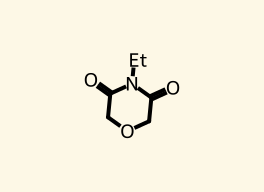 CCN1C(=O)COCC1=O